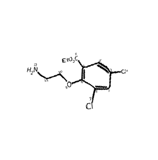 CCOC(=O)c1cc(Cl)cc(Cl)c1OCCN